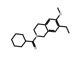 CCc1cc2c(cc1OC)CCN(C(=O)C1CCCCC1)C2